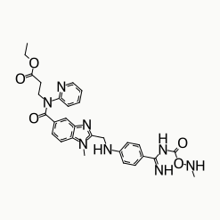 CCOC(=O)CCN(C(=O)c1ccc2c(c1)nc(CNc1ccc(C(=N)NC(=O)ONC)cc1)n2C)c1ccccn1